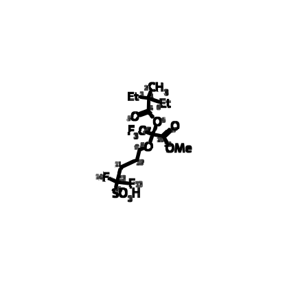 CCC(C)(CC)C(=O)OC(OCCCC(F)(F)S(=O)(=O)O)(C(=O)OC)C(F)(F)F